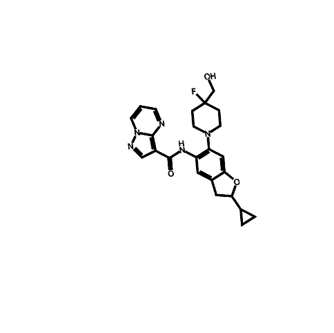 O=C(Nc1cc2c(cc1N1CCC(F)(CO)CC1)OC(C1CC1)C2)c1cnn2cccnc12